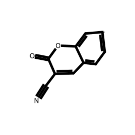 N#Cc1cc2cc[c]cc2oc1=O